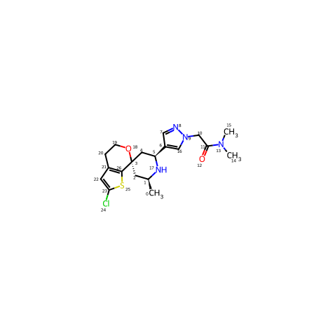 C[C@H]1C[C@@]2(C[C@@H](c3cnn(CC(=O)N(C)C)c3)N1)OCCc1cc(Cl)sc12